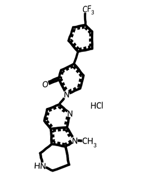 Cl.Cn1c2c(c3ccc(-n4ccc(-c5ccc(C(F)(F)F)cc5)cc4=O)nc31)CNCC2